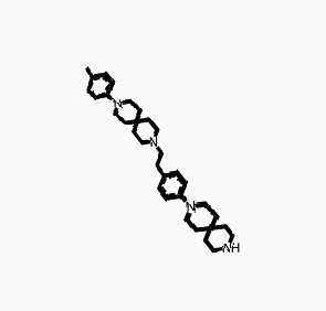 Cc1ccc(N2CCC3(CCN(CCc4ccc(N5CCC6(CCNCC6)CC5)cc4)CC3)CC2)cc1